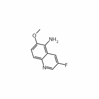 COc1ccc2ncc(F)cc2c1N